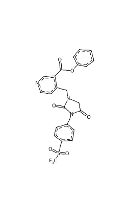 O=C(Oc1ccccc1)c1cnccc1CN1CC(=O)N(c2ccc(S(=O)(=O)C(F)(F)F)cc2)C1=O